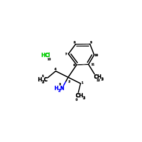 CCC(N)(CC)c1ccccc1C.Cl